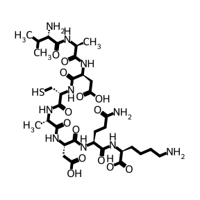 CC(C)[C@H](N)C(=O)N[C@@H](C)C(=O)N[C@@H](CC(=O)O)C(=O)N[C@@H](CS)C(=O)N[C@@H](C)C(=O)N[C@@H](CC(=O)O)C(=O)N[C@@H](CCC(N)=O)C(=O)N[C@@H](CCCCN)C(=O)O